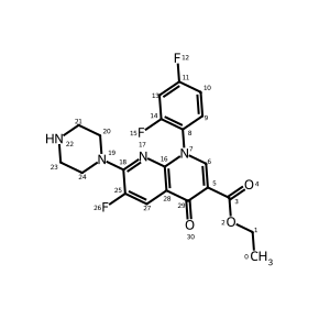 CCOC(=O)c1cn(-c2ccc(F)cc2F)c2nc(N3CCNCC3)c(F)cc2c1=O